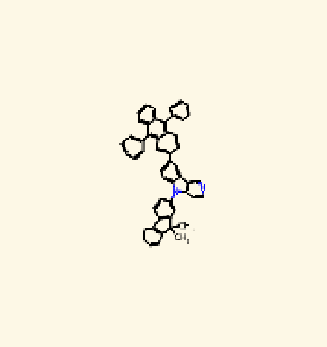 CC1(C)C2=C(CCC=C2)c2ccc(-n3c4ccncc4c4cc(-c5ccc6c(-c7ccccc7)c7ccccc7c(-c7ccccc7)c6c5)ccc43)cc21